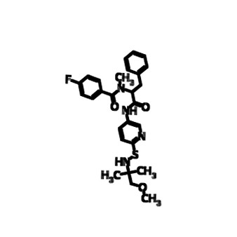 COCC(C)(C)NSc1ccc(NC(=O)C(Cc2ccccc2)N(C)C(=O)c2ccc(F)cc2)cn1